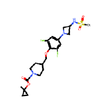 CCS(=O)(=O)NC1CN(c2cc(F)c(OCC3CCN(C(=O)OC4(C)CC4)CC3)c(F)c2)C1